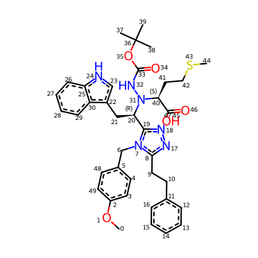 COc1ccc(Cn2c(CCc3ccccc3)nnc2[C@@H](Cc2c[nH]c3ccccc23)N(NC(=O)OC(C)(C)C)[C@@H](CCSC)C(=O)O)cc1